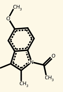 COc1ccc2c(c1)c(F)c(C)n2C(C)=O